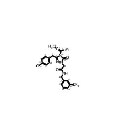 C=C=C(CCC)n1c(Cc2ccc(Cl)cc2)nn(CC(=O)NCc2cccc(C(F)(F)F)c2)c1=O